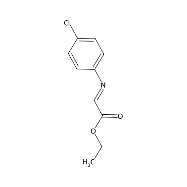 CCOC(=O)C=Nc1ccc(Cl)cc1